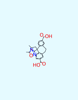 Cc1nc(C2(CC(C)C)c3ccc(C(=O)O)cc3CCc3cc(C(=O)O)ccc32)no1